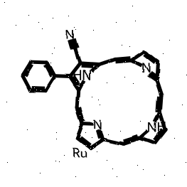 N#Cc1c(-c2ccccc2)c2cc3nc(cc4ccc(cc5nc(cc1[nH]2)C=C5)[nH]4)C=C3.[Ru]